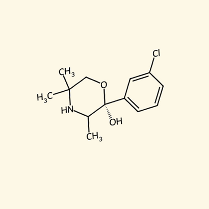 CC1NC(C)(C)CO[C@@]1(O)c1cccc(Cl)c1